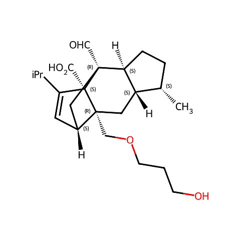 CC(C)C1=C[C@@H]2C[C@@]3(C=O)[C@H]4CC[C@H](C)[C@@H]4C[C@]2(COCCCO)[C@@]13C(=O)O